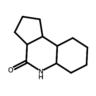 O=C1NC2CCCCC2C2CCCC12